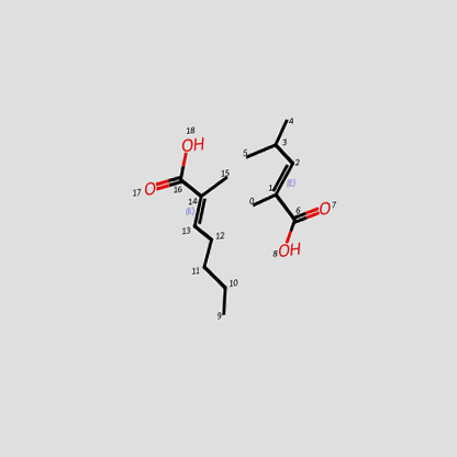 C/C(=C\C(C)C)C(=O)O.CCCC/C=C(\C)C(=O)O